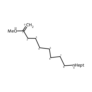 C=C(CCCCCCCCCCCCCC)OC